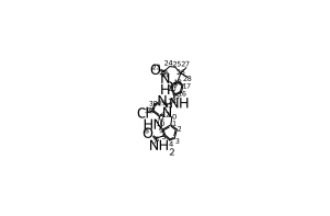 Cc1cccc(C(N)=O)c1Nc1nc(Nc2ccc3c(c2)NC(=O)CCC3(C)C)ncc1Cl